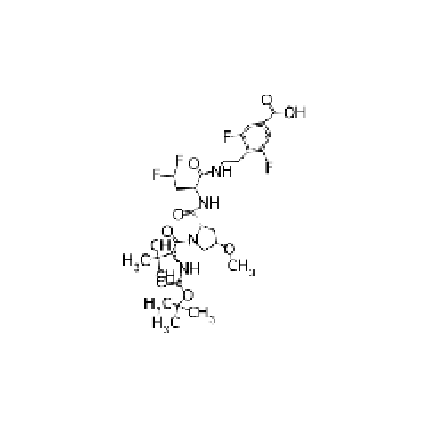 COC1C[C@@H](C(=O)N[C@@H](CC(F)F)C(=O)NCCc2c(F)cc(C(=O)O)cc2F)N(C(=O)[C@@H](NC(=O)OC(C)(C)C)C(C)(C)C)C1